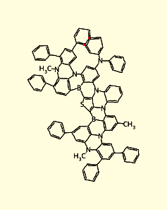 Cc1cc2c3c(c1)N1c4ccccc4N4c5cc(N(c6ccccc6)c6ccccc6)cc6c5B(c5ccc(-c7ccccc7)c7c5N6c5cc(-c6ccccc6)cc(-c6ccccc6)c5N7C)c5sc(c1c54)B3c1cc(-c3ccccc3)cc3c1N2c1cc(-c2ccccc2)cc(-c2ccccc2)c1N3C